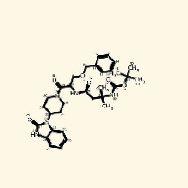 CC(C)(CC(=O)NC(COCc1ccccc1)C(=O)N1CCC(n2c(=O)[nH]c3ccccc32)CC1)NC(=O)OC(C)(C)C